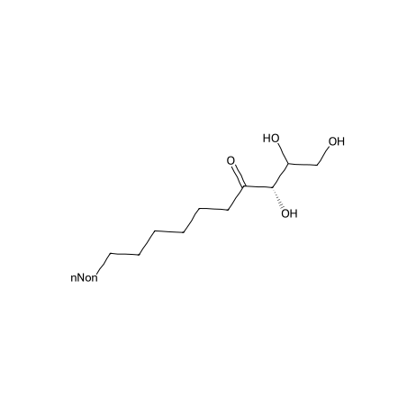 CCCCCCCCCCCCCCCC(=O)[C@@H](O)C(O)CO